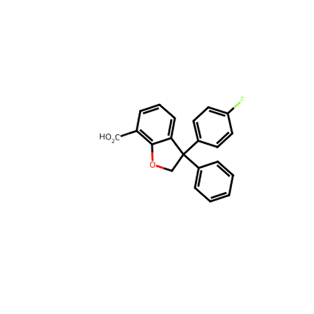 O=C(O)c1cccc2c1OCC2(c1ccccc1)c1ccc(F)cc1